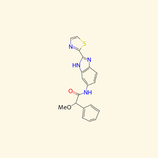 COC(C(=O)Nc1ccc2nc(-c3nccs3)[nH]c2c1)c1ccccc1